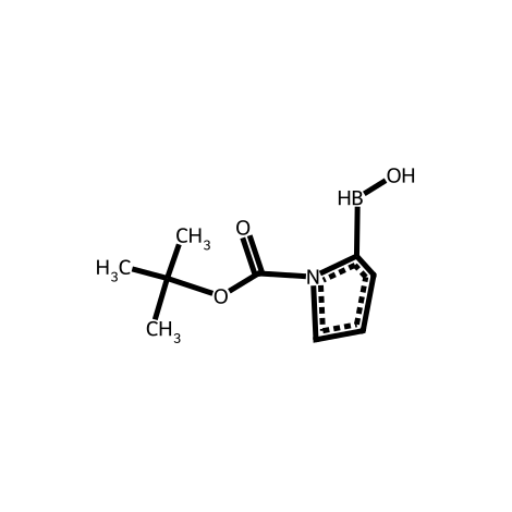 CC(C)(C)OC(=O)n1cccc1BO